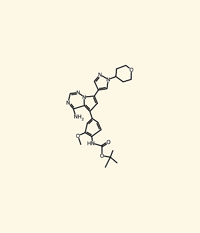 COc1cc(-c2cc(-c3cnn(C4CCOCC4)c3)n3ncnc(N)c23)ccc1NC(=O)OC(C)(C)C